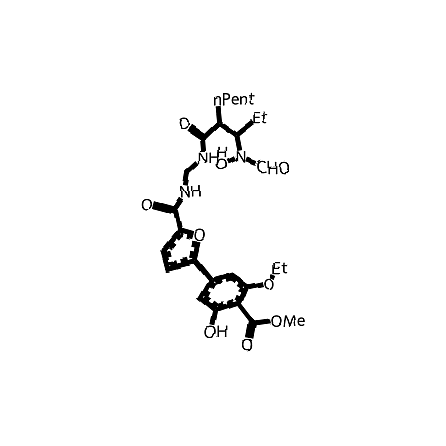 CCCCCC(C(=O)NCNC(=O)c1ccc(-c2cc(O)c(C(=O)OC)c(OCC)c2)o1)C(CC)N(O)C=O